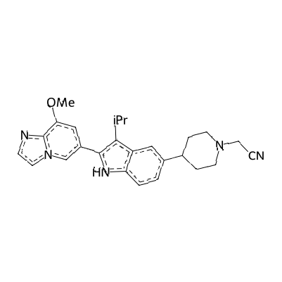 COc1cc(-c2[nH]c3ccc(C4CCN(CC#N)CC4)cc3c2C(C)C)cn2ccnc12